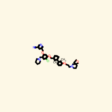 Cc1c(COc2cc(OCc3cncc(C#N)c3)c(CN3CCCCC3)cc2Cl)cccc1-c1cccc(OCCCN2CCCC3(CCOC3)C2)c1C